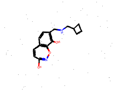 OC1=NOc2c(ccc(CNCC3CCC3)c2O)C=C1